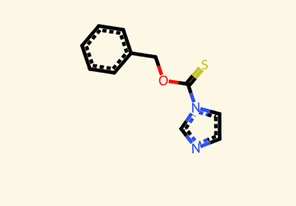 S=C(OCc1ccccc1)n1ccnc1